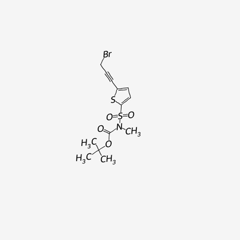 CN(C(=O)OC(C)(C)C)S(=O)(=O)c1ccc(C#CCBr)s1